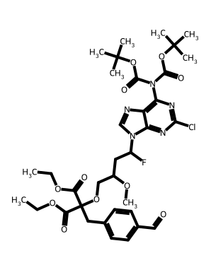 CCOC(=O)C(Cc1ccc(C=O)cc1)(OCC(CC(F)n1cnc2c(N(C(=O)OC(C)(C)C)C(=O)OC(C)(C)C)nc(Cl)nc21)OC)C(=O)OCC